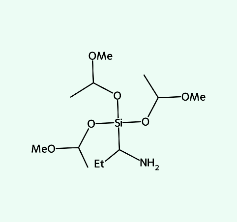 CCC(N)[Si](OC(C)OC)(OC(C)OC)OC(C)OC